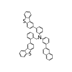 c1cc(-c2ccc3ccccc3c2)cc(N(Cc2ccccc2-c2ccc3sc4ccccc4c3c2)c2cccc(-c3ccc4sc5ccccc5c4c3)c2)c1